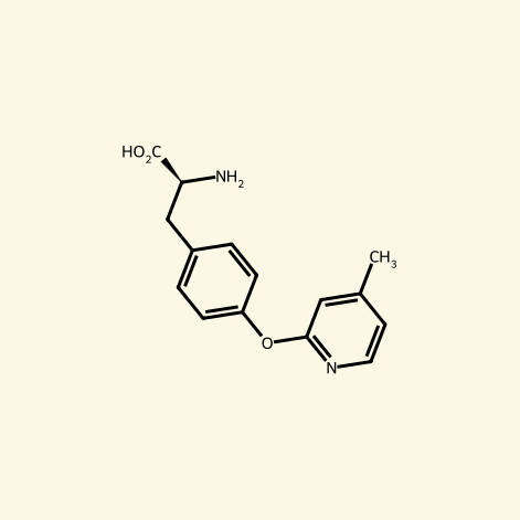 Cc1ccnc(Oc2ccc(C[C@H](N)C(=O)O)cc2)c1